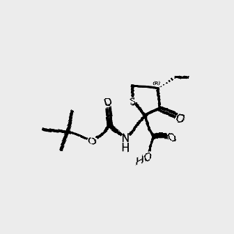 CC[C@H]1CSC(NC(=O)OC(C)(C)C)(C(=O)O)C1=O